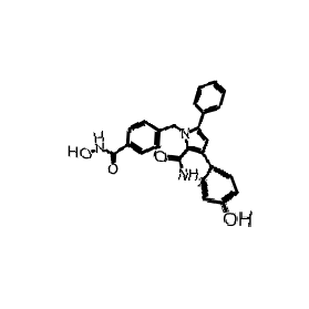 NC(=O)c1c(-c2ccc(O)cc2)cc(-c2ccccc2)n1Cc1ccc(C(=O)NO)cc1